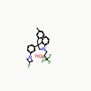 Cc1cccc(CC2(c3cccc(N4CC(F)C4)c3)CN(C[C@@H](O)C(F)(F)F)c3ccccc32)c1